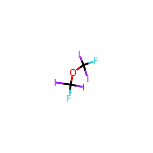 FC(I)(I)OC(F)(I)I